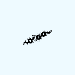 CCCC1CCC(C(=O)OC2CCC(C3CCC(CCC)CC3)CC2)CC1